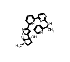 C[C@H](Nc1nccc(-c2cccc(-c3cc([C@]4(O)CCN(C)C4=O)on3)n2)n1)c1ccccn1